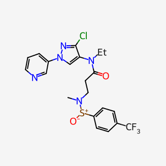 CCN(C(=O)CCN(C)[S+]([O-])c1ccc(C(F)(F)F)cc1)c1cn(-c2cccnc2)nc1Cl